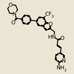 Nc1ccc(C=CC(=O)NCc2cc3cc(-c4ccc(C(=O)N5CCOCC5)cc4)cc(C(F)(F)F)c3o2)cn1